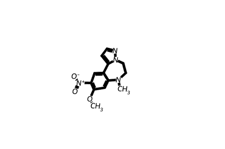 COc1cc2c(cc1[N+](=O)[O-])-c1ccnn1CCN2C